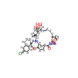 CC[C@@H]1CC/C=C/[C@](O)(CO)[C@@H]2CC[C@H]2CN2C[C@@]3(CCCc4cc(Cl)ccc43)COc3ccc(cc32)C(=O)NS1(=O)=O